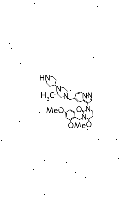 COc1ccc(CN2C(=O)CCN(c3cnn4ccc(CN5CCN(C6CCNCC6)[C@@H](C)C5)cc34)C2=O)c(OC)c1